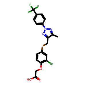 Cc1nn(-c2ccc(C(F)(F)F)cc2)nc1CSc1ccc(OCC(=O)O)c(Br)c1